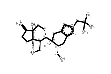 C=C1CC[C@H]2[C@H](CN)[C@@H]([C@@]3(C)Cc4cn(CC(C)(C)C)nc4C[C@@H]3CO)CC[C@]12C